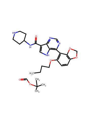 CC(C)(C)OC=O.CCCCOc1ccc2c(c1-c1ncnc3c(C(=O)NC4CCNCC4)c[nH]c13)OCO2